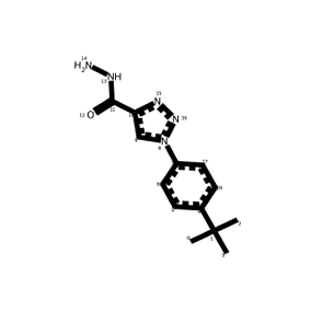 CC(C)(C)c1ccc(-n2cc(C(=O)NN)nn2)cc1